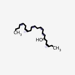 CC/C=C\C[C@H](O)/C=C/C=C\C/C=C\C/C=C\C/C=C\CCC